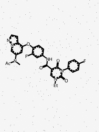 CCn1cc(C(=O)Nc2ccc(Oc3cc(N(C)C(C)=O)cn4nccc34)c(F)c2)c(=O)n(-c2ccc(F)cc2)c1=O